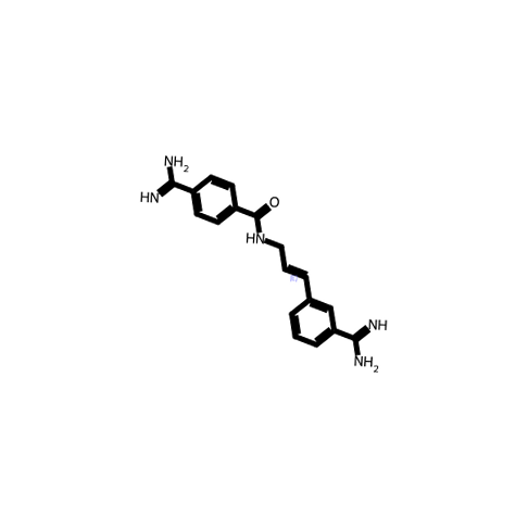 N=C(N)c1ccc(C(=O)NC/C=C/c2cccc(C(=N)N)c2)cc1